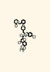 O=C(N[C@H](C=C1CCN(c2ccccc2CN2CCCCC2=O)CC1)Cc1ccc(Cl)cc1)c1cc(=O)c2cc(OC(F)(F)F)ccc2o1